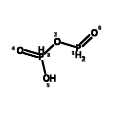 O=[PH2]O[PH](=O)O